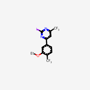 CCOc1cc(-c2cc(C(F)(F)F)nc(I)n2)ccc1C(F)(F)F